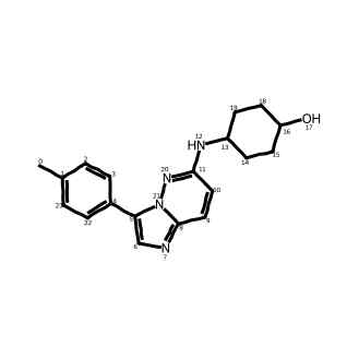 Cc1ccc(-c2cnc3ccc(NC4CCC(O)CC4)nn23)cc1